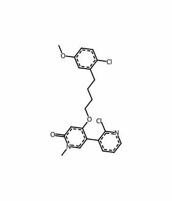 COc1ccc(Cl)c(CCCCOc2cc(=O)n(C)cc2-c2cccnc2Cl)c1